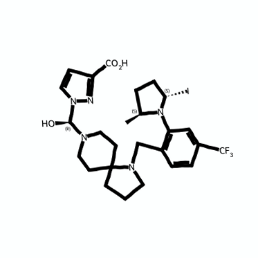 C[C@H]1CC[C@H](I)N1c1cc(C(F)(F)F)ccc1CN1CCCC12CCN([C@@H](O)n1ccc(C(=O)O)n1)CC2